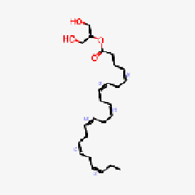 CC/C=C\C/C=C\C/C=C\C/C=C\C/C=C\C/C=C\CCC(=O)OC(CO)CO